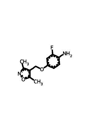 Cc1noc(C)c1COc1ccc(N)c(F)c1